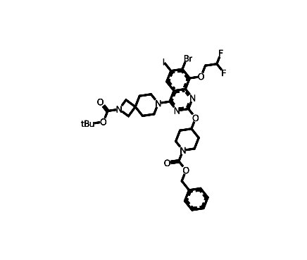 CC(C)(C)OC(=O)N1CC2(CCN(c3nc(OC4CCN(C(=O)OCc5ccccc5)CC4)nc4c(OCC(F)F)c(Br)c(I)cc34)CC2)C1